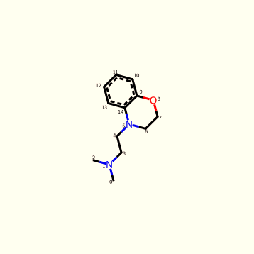 CN(C)CCN1CCOc2c[c]ccc21